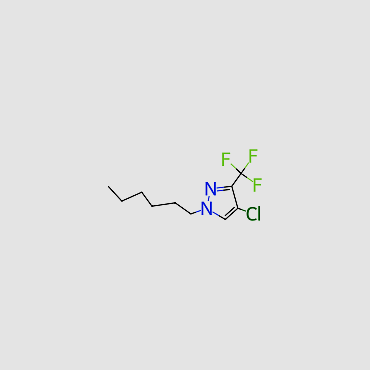 CCCCCCn1cc(Cl)c(C(F)(F)F)n1